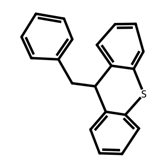 c1ccc(CC2c3ccccc3Sc3ccccc32)cc1